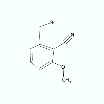 COc1cccc(CBr)c1C#N